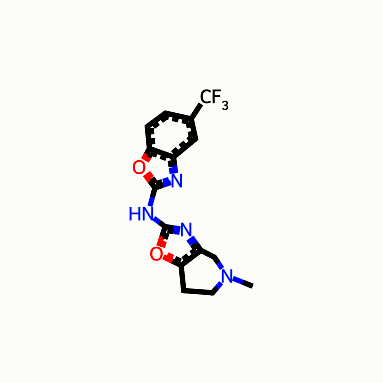 CN1CCc2oc(Nc3nc4cc(C(F)(F)F)ccc4o3)nc2C1